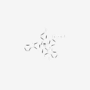 CCCCCc1ccc2c(c1)Bc1c(-c3cc4c(cc3Nc3ccc(C(C)(C)C)cc3)sc3ccccc34)cc(C)c3c4ccccc4n-2c13